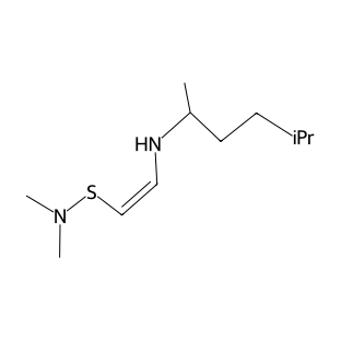 CC(C)CCC(C)N/C=C\SN(C)C